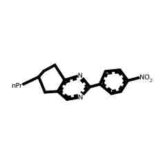 CCCC1CCc2nc(-c3ccc([N+](=O)[O-])cc3)ncc2C1